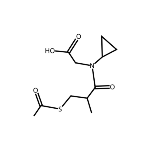 CC(=O)SCC(C)C(=O)N(CC(=O)O)C1CC1